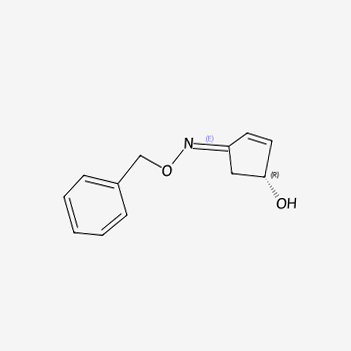 O[C@H]1C=C/C(=N/OCc2ccccc2)C1